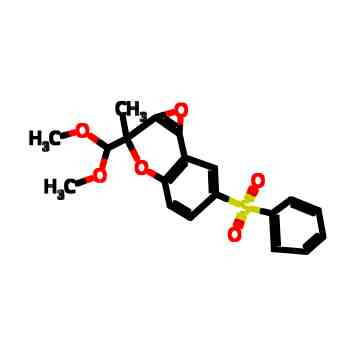 COC(OC)C1(C)Oc2ccc(S(=O)(=O)c3ccccc3)cc2C2=C1O2